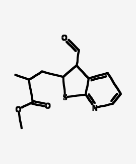 COC(=O)C(C)CC1Sc2ncccc2C1C=O